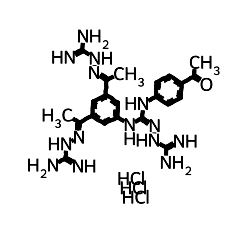 CC(=O)c1ccc(NC(=NNC(=N)N)Nc2cc(C(C)=NNC(=N)N)cc(C(C)=NNC(=N)N)c2)cc1.Cl.Cl.Cl